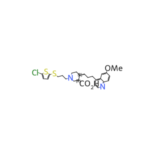 COc1ccc2nccc(CCC[C@@H]3CCN(CCCSc4ccc(Cl)s4)C[C@@H]3C(=O)O)c2c1